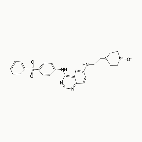 O=S(=O)(c1ccccc1)c1ccc(Nc2ncnc3ccc(NCCN4CC[S+]([O-])CC4)cc23)cc1